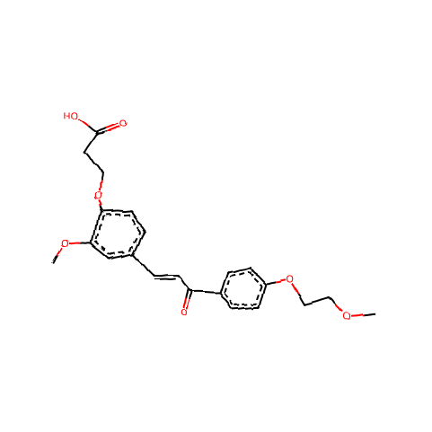 COCCOc1ccc(C(=O)/C=C/c2ccc(OCCC(=O)O)c(OC)c2)cc1